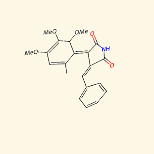 COC1=C(OC)C(OC)C(=C2C(=O)NC(=O)C2=Cc2ccccc2)C(C)=C1